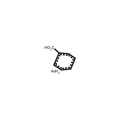 O=C(O)c1ccccc1.[AsH3]